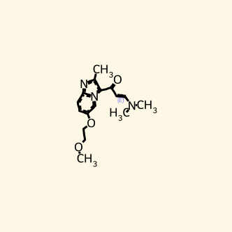 COCCOc1ccc2nc(C)c(C(=O)/C=C/N(C)C)n2c1